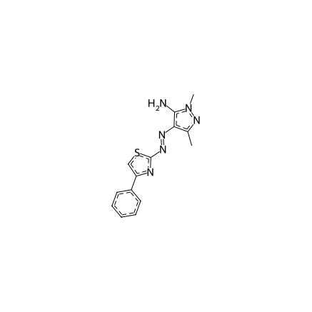 Cc1nn(C)c(N)c1/N=N/c1nc(-c2ccccc2)cs1